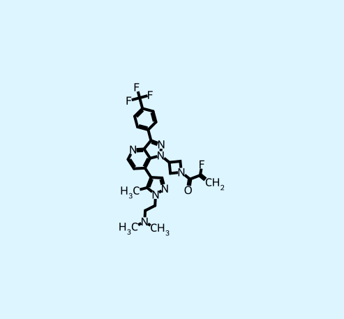 C=C(F)C(=O)N1CC(n2nc(-c3ccc(C(F)(F)F)cc3)c3nccc(-c4cnn(CCN(C)C)c4C)c32)C1